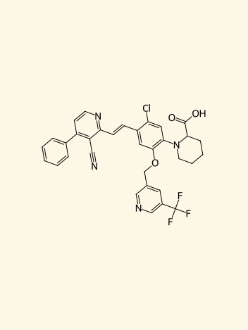 N#Cc1c(-c2ccccc2)ccnc1/C=C/c1cc(OCc2cncc(C(F)(F)F)c2)c(N2CCCCC2C(=O)O)cc1Cl